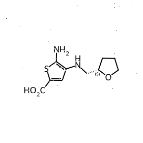 Nc1sc(C(=O)O)cc1NC[C@@H]1CCCO1